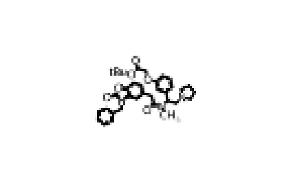 CN(C(=O)Cc1ccc2oc(=O)n(Cc3ccccc3)c2c1)C(CN1CCCC1)c1cccc(OCC(=O)OC(C)(C)C)c1